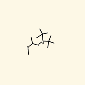 COC(C)O[SiH](C(C)(C)C)C(C)(C)C